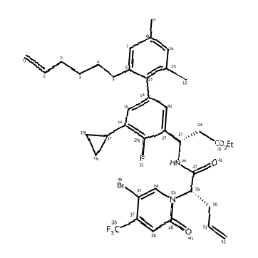 C=CCCCCc1cc(C)cc(C)c1-c1cc(C2CC2)c(F)c([C@H](CC(=O)OCC)NC(=O)[C@H](CC=C)n2cc(Br)c(C(F)(F)F)cc2=O)c1